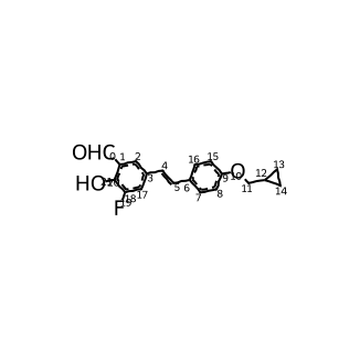 O=Cc1cc(C=Cc2ccc(OCC3CC3)cc2)cc(F)c1O